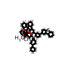 CC1(C)c2ccccc2-c2ccc(N(c3ccc(-c4ccccc4)cc3)c3ccc(-c4ccc5sc6ccccc6c5c4)cc3-c3ccc4c(c3)-c3ccccc3C43c4ccccc4-c4ccccc43)cc21